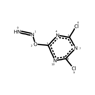 N=NOc1nc(Cl)nc(Cl)n1